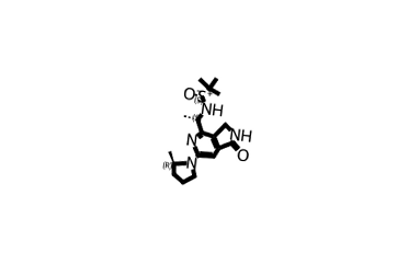 C[C@H](N[S@+]([O-])C(C)(C)C)c1nc(N2CCC[C@H]2C)cc2c1CNC2=O